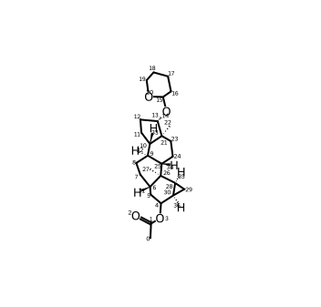 CC(=O)OC1C[C@@H]2CC[C@H]3[C@@H]4CC[C@H](OC5CCCCO5)[C@@]4(C)CC[C@@H]3[C@@]2(C)[C@H]2C[C@@H]12